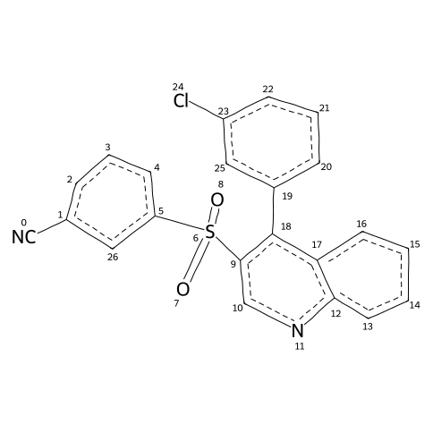 N#Cc1cccc(S(=O)(=O)c2cnc3ccccc3c2-c2cccc(Cl)c2)c1